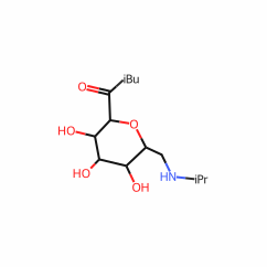 CCC(C)C(=O)C1OC(CNC(C)C)C(O)C(O)C1O